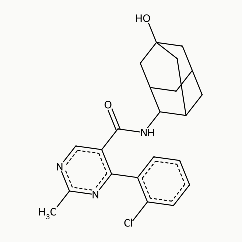 Cc1ncc(C(=O)NC2C3CC4CC2CC(O)(C4)C3)c(-c2ccccc2Cl)n1